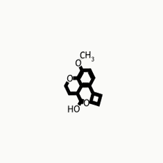 COc1ccc(C2CCC2)c2c1OCCC2C(=O)O